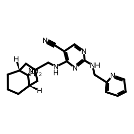 N#Cc1cnc(NCc2ccccn2)nc1NCC1C[C@H]2CCC[C@@H](C1)[C@@H]2N